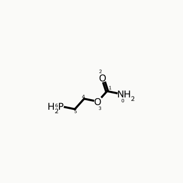 NC(=O)OCCP